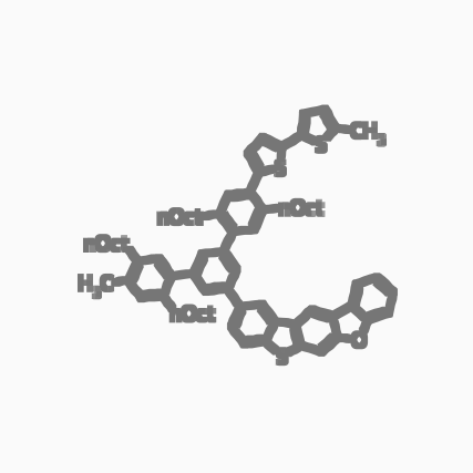 CCCCCCCCc1cc(-c2cc(-c3ccc4sc5cc6oc7ccccc7c6cc5c4c3)cc(-c3cc(CCCCCCCC)c(-c4ccc(-c5ccc(C)s5)s4)cc3CCCCCCCC)c2)c(CCCCCCCC)cc1C